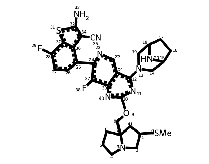 CSC1CN2CCCC2(COc2nc(N3CC4CCC(C3)N4)c3cnc(-c4ccc(F)c5sc(N)c(C#N)c45)c(F)c3n2)C1